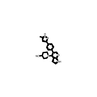 Cc1cc(-c2ccc(-c3cnc4[nH]ccc4c3N3CCC(C#N)CC3)cc2)n[nH]1